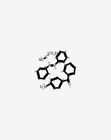 CCOC(=O)CC#N.O=C(c1ccccc1)c1ccc([N+](=O)[O-])cc1.c1ccc(N=Nc2ccccc2)cc1